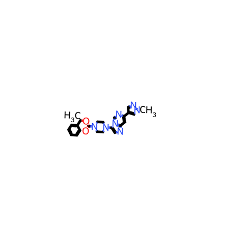 CC(OC(=O)N1CCN(c2cnc3cc(-c4cnn(C)c4)ncn23)CC1)c1ccccc1